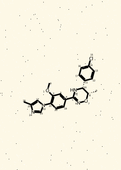 COc1cc(C2=NO[C@@H](C)[C@@H](c3ccc(Cl)cc3)N2)ccc1-n1cnc(C)c1